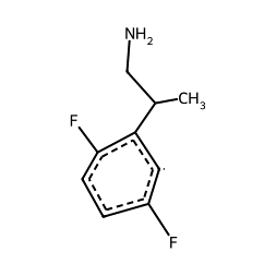 CC(CN)c1[c]c(F)ccc1F